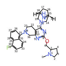 CN1CCCC1COc1nc2c(c(N3C[C@H]4CC[C@@H](C3)N4)n1)CCN(c1cccc3c(F)cccc13)C2